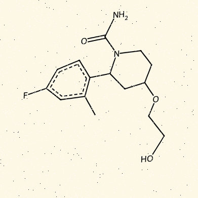 Cc1cc(F)ccc1C1CC(OCCO)CCN1C(N)=O